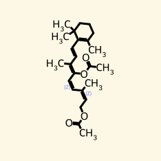 CC(=O)OC/C=C(C)\C=C/C(OC(C)=O)=C(C)C=CC1=C(C)CCCC1(C)C